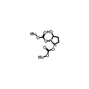 CC(C)(C)OC(=O)O[C@H]1CCC(O)N1OC(=O)OC(C)(C)C